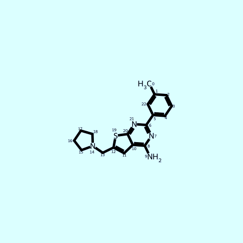 Cc1cccc(-c2nc(N)c3cc(CN4CCCC4)sc3n2)c1